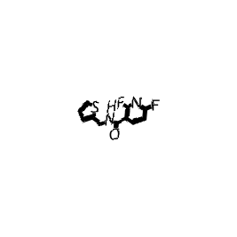 O=C(NCc1cccs1)c1ccc(F)nc1F